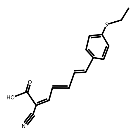 CCSc1ccc(C=CC=CC=C(C#N)C(=O)O)cc1